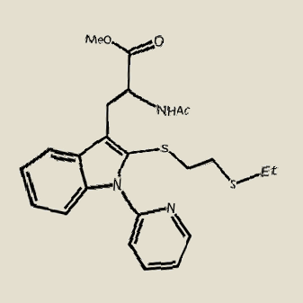 CCSCCSc1c(CC(NC(C)=O)C(=O)OC)c2ccccc2n1-c1ccccn1